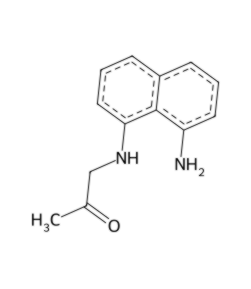 CC(=O)CNc1cccc2cccc(N)c12